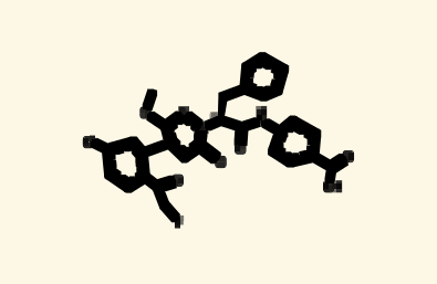 COc1nn([C@@H](Cc2ccccc2)C(=O)Nc2ccc(C(=O)O)cc2)c(=O)cc1-c1cc(Cl)ccc1C(=O)CF